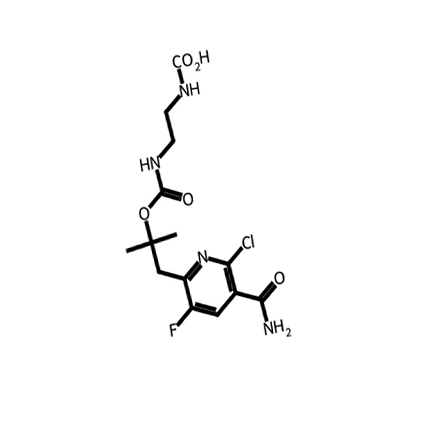 CC(C)(Cc1nc(Cl)c(C(N)=O)cc1F)OC(=O)NCCNC(=O)O